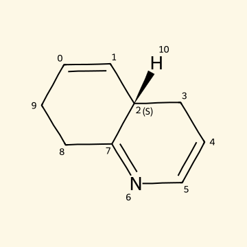 C1=C[C@@H]2CC=CN=C2CC1